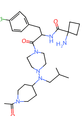 CC(=O)N1CCC(N(CC(C)C)N2CCN(C(=O)C(Cc3ccc(Cl)cc3)NC(=O)C3(N)CCC3)CC2)CC1